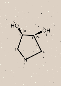 O[C@@H]1C[N]C[C@@H]1O